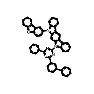 c1ccc(-c2cccc(-c3nc(-c4ccccc4)nc(-n4c5ccccc5c5cc6c7ccccc7n(-c7ccc8oc9ccccc9c8c7)c6cc54)n3)c2)cc1